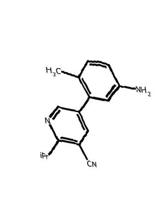 Cc1ccc(N)cc1-c1cnc(C(C)C)c(C#N)c1